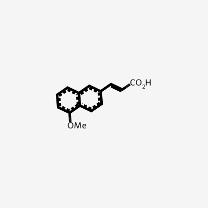 COc1cccc2cc(C=CC(=O)O)ccc12